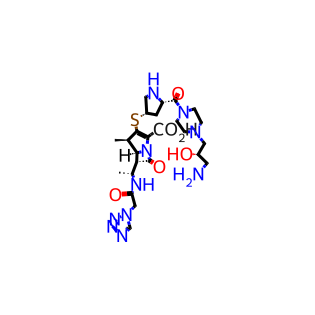 C[C@@H](NC(=O)Cn1cnnn1)[C@H]1C(=O)N2C(C(=O)O)=C(S[C@@H]3CN[C@H](C(=O)N4CCN(C[C@@H](O)CN)CC4)C3)[C@H](C)[C@H]12